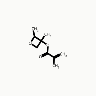 C=C(C)C(=O)OC1(C)COC1C